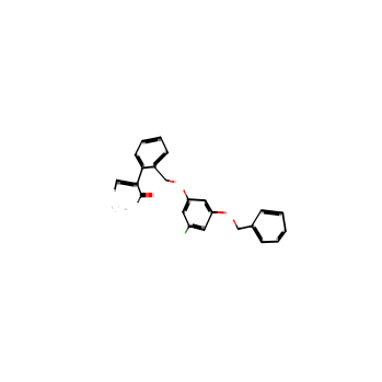 CC=C(C(=O)OC)c1ccccc1COc1cc(F)cc(OCc2ccccc2)c1